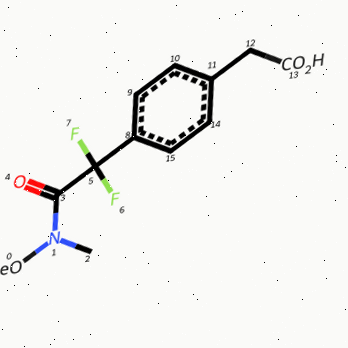 CON(C)C(=O)C(F)(F)c1ccc(CC(=O)O)cc1